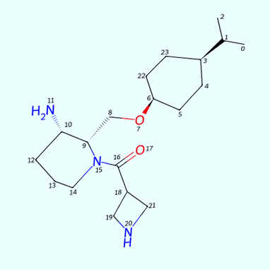 CC(C)[C@H]1CC[C@@H](OC[C@H]2[C@@H](N)CCCN2C(=O)C2CNC2)CC1